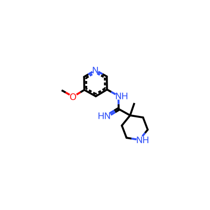 COc1cncc(NC(=N)C2(C)CCNCC2)c1